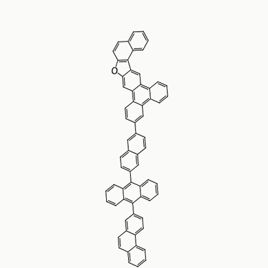 c1ccc2c(c1)ccc1cc(-c3c4ccccc4c(-c4ccc5cc(-c6ccc7c(c6)c6ccccc6c6cc8c(cc76)oc6ccc7ccccc7c68)ccc5c4)c4ccccc34)ccc12